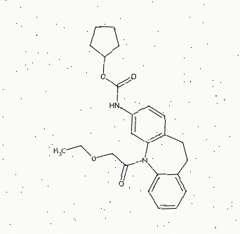 CCOCC(=O)N1c2ccccc2CCc2ccc(NC(=O)OC3CCCC3)cc21